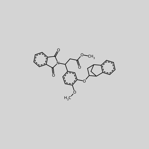 COC(=O)CC(c1ccc(OC)c(OC2CC3CC2c2ccccc23)c1)N1C(=O)c2ccccc2C1=O